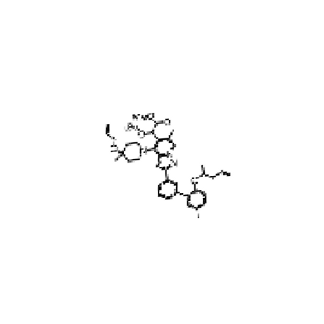 C=CCOC1(C)CCN(c2c(C(OC(C)(C)C)C(=O)OC)c(C)cn3nc(-c4cccc(-c5cc(C)ccc5OC(C)CC=C)c4)cc23)CC1